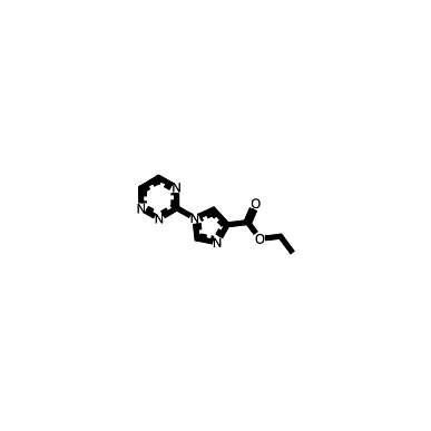 CCOC(=O)c1cn(-c2nccnn2)cn1